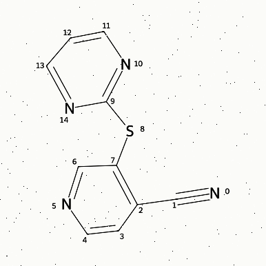 N#Cc1ccncc1Sc1ncccn1